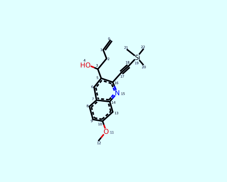 C=CCC(O)c1cc2ccc(OC)cc2nc1C#C[Si](C)(C)C